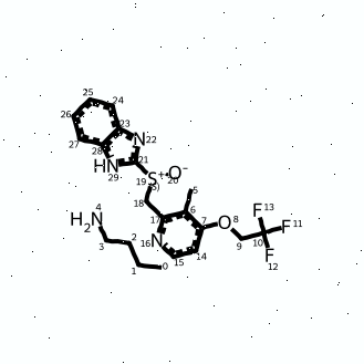 CCCCN.Cc1c(OCC(F)(F)F)ccnc1C[S@@+]([O-])c1nc2ccccc2[nH]1